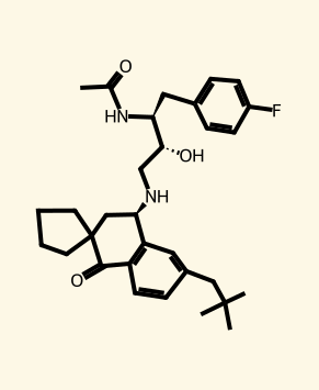 CC(=O)N[C@@H](Cc1ccc(F)cc1)[C@H](O)CN[C@@H]1CC2(CCCC2)C(=O)c2ccc(CC(C)(C)C)cc21